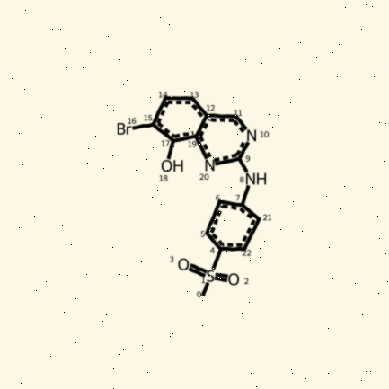 CS(=O)(=O)c1ccc(Nc2ncc3ccc(Br)c(O)c3n2)cc1